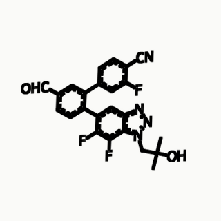 CC(C)(O)Cn1nnc2cc(-c3ccc(C=O)cc3-c3ccc(C#N)c(F)c3)c(F)c(F)c21